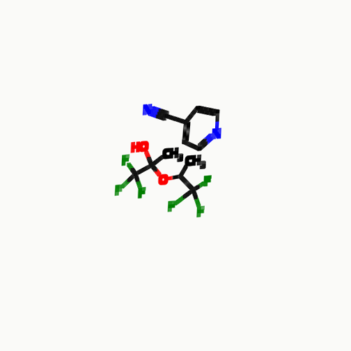 CC(OC(C)(O)C(F)(F)F)C(F)(F)F.N#Cc1ccncc1